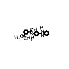 CN(C)c1cccc(C(O)Nc2ccc(-c3nc4ccccc4[nH]3)cc2)c1